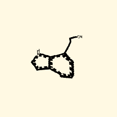 N#CCc1cccc2cc[nH]c12